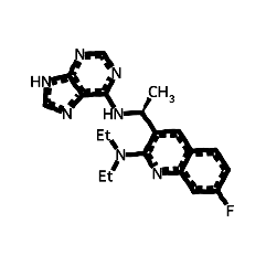 CCN(CC)c1nc2cc(F)ccc2cc1[C@H](C)Nc1ncnc2[nH]cnc12